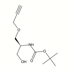 C#CCOC[C@H](CO)NC(=O)OC(C)(C)C